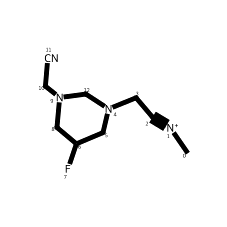 C[N+]#CCN1CC(F)CN(CC#N)C1